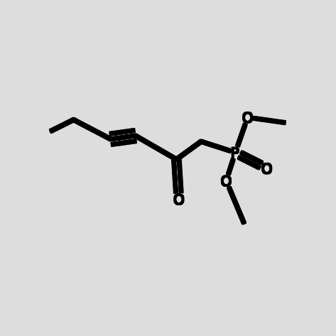 CCC#CC(=O)CP(=O)(OC)OC